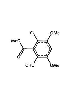 COC(=O)c1c(Cl)c(OC)cc(OC)c1C=O